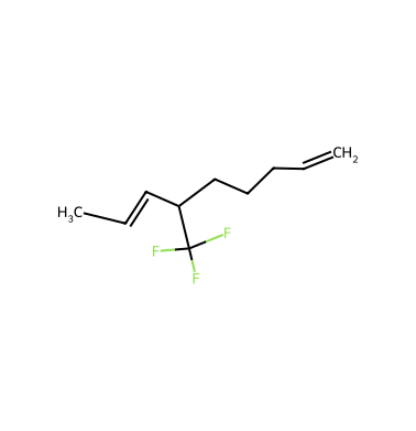 C=CCCCC(C=CC)C(F)(F)F